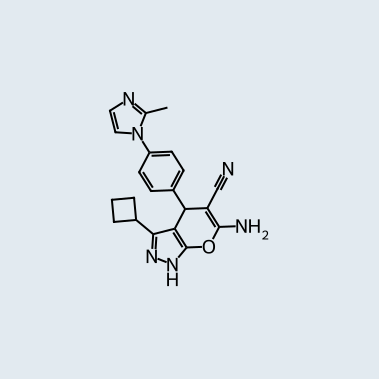 Cc1nccn1-c1ccc(C2C(C#N)=C(N)Oc3[nH]nc(C4CCC4)c32)cc1